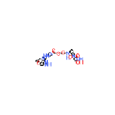 CC1(Oc2ccc3[nH]nc(-c4cc(N5CCN(C(=O)CCOCCOCCNc6cccc7c6C(=O)N(C6CCC(O)NC6=O)C7)CC5)ncn4)c3c2)CC1